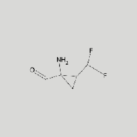 NC1(C=O)CC1C(F)F